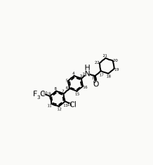 O=C(Nc1ccc(-c2cc(C(F)(F)F)ccc2Cl)cc1)C1CCCCC1